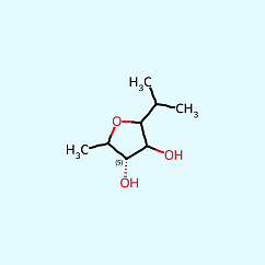 CC(C)C1OC(C)[C@@H](O)C1O